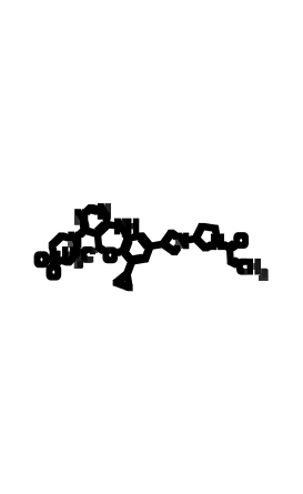 C=CC(=O)N1CCC(N2CC(c3cc4c(c(C5CC5)c3)O[C@H](C)c3c(ncnc3N3CCS(=O)(=O)CC3)N4)C2)C1